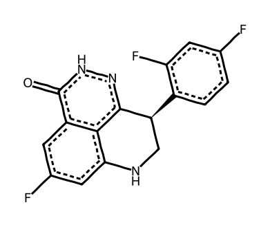 O=c1[nH]nc2c3c(cc(F)cc13)NC[C@@H]2c1ccc(F)cc1F